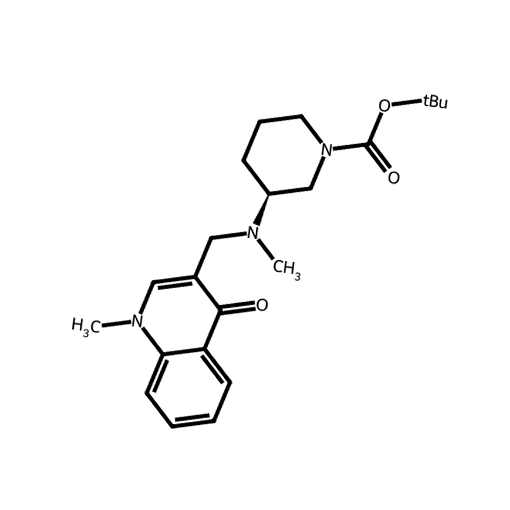 CN(Cc1cn(C)c2ccccc2c1=O)[C@H]1CCCN(C(=O)OC(C)(C)C)C1